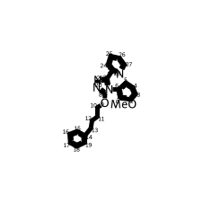 COc1ccccc1-n1c(OCCCCc2ccccc2)nnc1-c1ccccn1